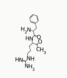 CC(=O)C(CCCNC(=N)N)NC(=O)C(N)Cc1ccccc1